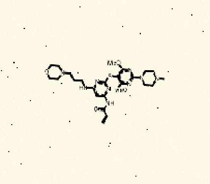 C=CC(=O)Nc1cc(NCCCN2CCOCC2)nc(Sc2c(OC)nc(N3CCN(C)CC3)nc2OC)n1